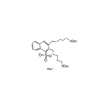 CCCCCCCCCCCCCCCc1cc2ccccc2c(S(=O)(=O)[O-])c1CCCCCCCCCCCCCCC.[Na+]